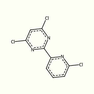 Clc1cccc(-c2nc(Cl)cc(Cl)n2)n1